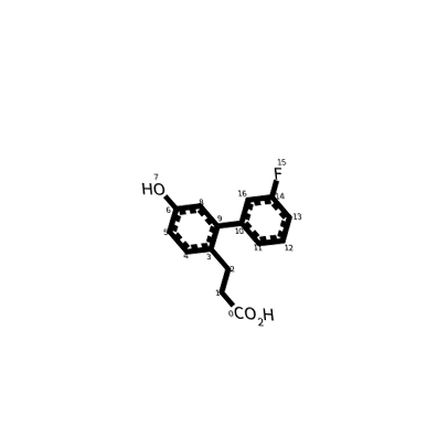 O=C(O)CCc1ccc(O)cc1-c1cccc(F)c1